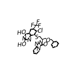 O=c1n(C(COCc2ccccc2)CSc2c(Cl)c(C(F)(F)F)cc3c(O)nc(O)nc23)nc2ccccn12